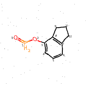 O=[PH2]Oc1cccc2c1CC[C]2